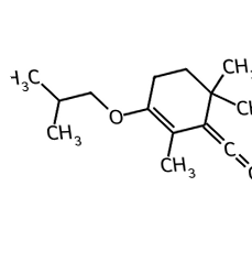 CC1=C(OCC(C)C)CCC(C)(C)C1=C=O